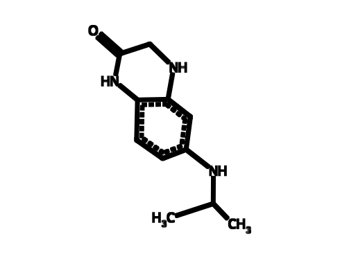 CC(C)Nc1ccc2c(c1)NCC(=O)N2